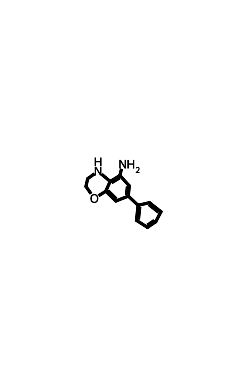 Nc1cc(-c2ccccc2)cc2c1NCCO2